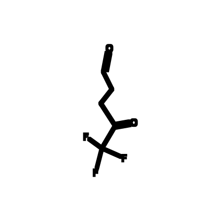 O=CCCC(=O)C(F)(F)F